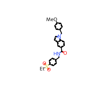 CCS(=O)(=O)c1ccc(CNC(=O)c2ccc3c(ccn3Cc3ccc(OC)cc3)c2)cc1